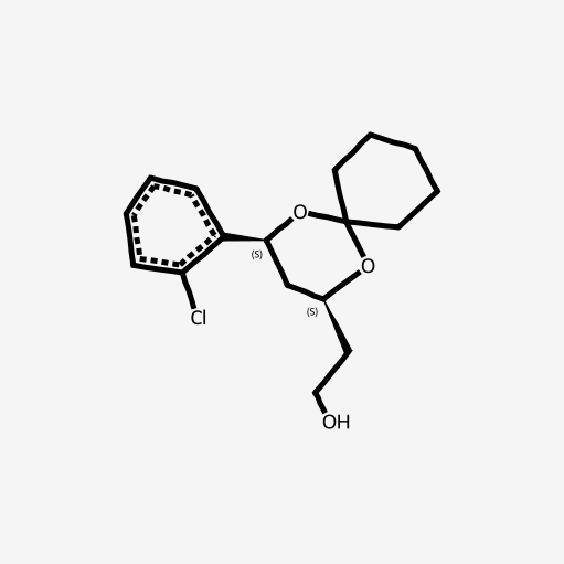 OCC[C@H]1C[C@@H](c2ccccc2Cl)OC2(CCCCC2)O1